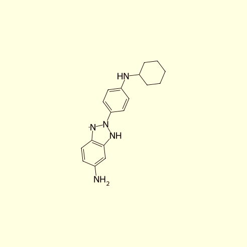 Nc1ccc2c(c1)NN(c1ccc(NC3CCCCC3)cc1)[N]2